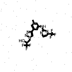 Cc1cc(Nc2nccc(C(F)(F)F)n2)cc(-c2cn(CC(O)C(F)(F)F)nn2)c1